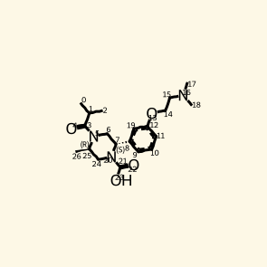 CC(C)C(=O)N1C[C@H](c2cccc(OCCN(C)C)c2)N(C(=O)O)C[C@H]1C